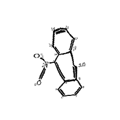 O=[N+]([O-])c1c2ccccc2[c]c2ccccc12